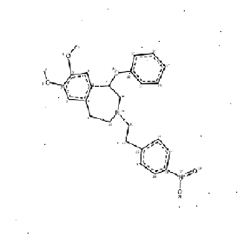 COc1cc2c(cc1OC)C(Oc1ccccc1)CN(CCc1ccc([N+](=O)[O-])cc1)CC2